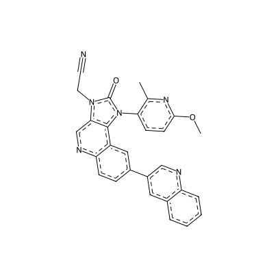 COc1ccc(-n2c(=O)n(CC#N)c3cnc4ccc(-c5cnc6ccccc6c5)cc4c32)c(C)n1